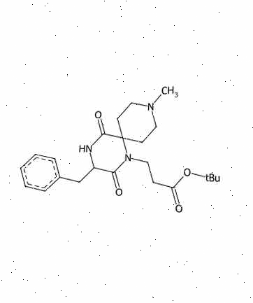 CN1CCC2(CC1)C(=O)NC(Cc1ccccc1)C(=O)N2CCC(=O)OC(C)(C)C